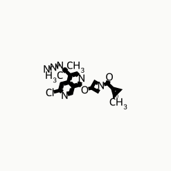 C[C@@H]1CC1C(=O)N1CC(Oc2ncc(C(C)(C)N=[N+]=[N-])c3cc(Cl)ncc23)C1